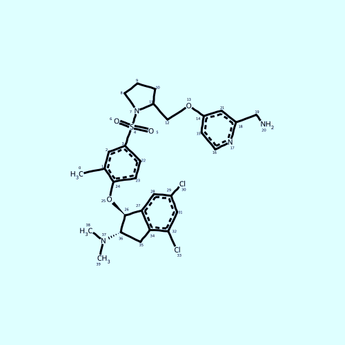 Cc1cc(S(=O)(=O)N2CCCC2COc2ccnc(CN)c2)ccc1O[C@H]1c2cc(Cl)cc(Cl)c2C[C@@H]1N(C)C